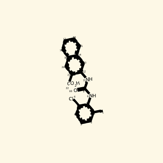 Cc1cccc(Cl)c1NC(=O)Nc1cc2ccccc2cc1C(=O)O